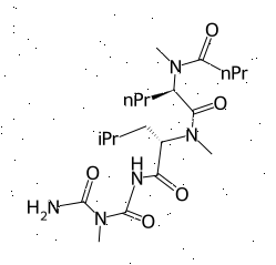 CCCC(=O)N(C)[C@H](CCC)C(=O)N(C)[C@@H](CC(C)C)C(=O)NC(=O)N(C)C(N)=O